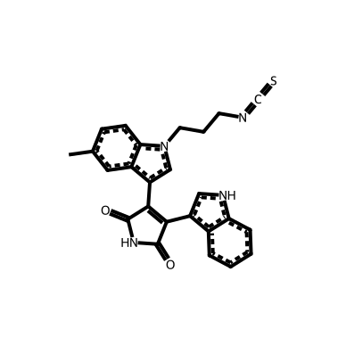 Cc1ccc2c(c1)c(C1=C(c3c[nH]c4ccccc34)C(=O)NC1=O)cn2CCCN=C=S